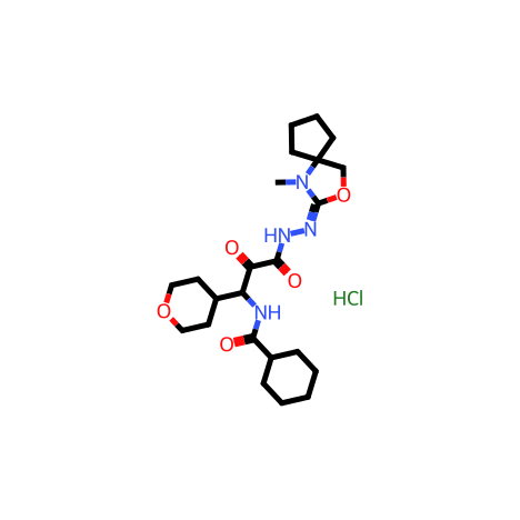 CN1C(=NNC(=O)C(=O)C(NC(=O)C2CCCCC2)C2CCOCC2)OCC12CCCC2.Cl